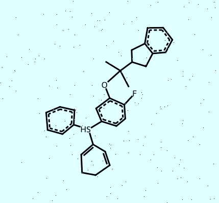 CC(C)(Oc1cc([SH](C2=CCCC=C2)c2ccccc2)ccc1F)C1Cc2ccccc2C1